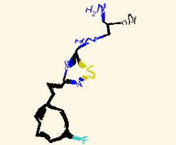 CCCC(N)CNc1nc(Cc2cccc(F)c2)ns1